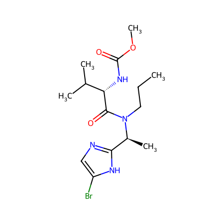 CCCN(C(=O)[C@@H](NC(=O)OC)C(C)C)[C@@H](C)c1ncc(Br)[nH]1